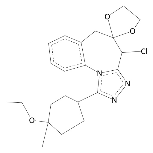 CCOC1(C)CCC(c2nnc3n2-c2ccccc2CC2(OCCO2)C3Cl)CC1